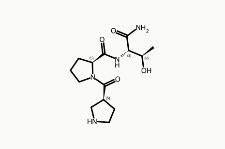 C[C@@H](O)[C@H](NC(=O)[C@@H]1CCCN1C(=O)[C@H]1CCNC1)C(N)=O